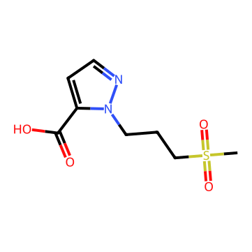 CS(=O)(=O)CCCn1nccc1C(=O)O